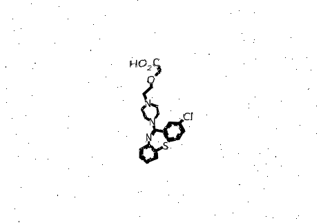 O=C(O)COCCN1CCN(C2=Nc3ccccc3Sc3ccc(Cl)cc32)CC1